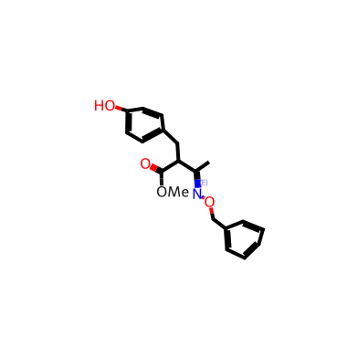 COC(=O)C(Cc1ccc(O)cc1)/C(C)=N/OCc1ccccc1